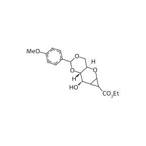 CCOC(=O)C1C2O[C@@H]3COC(c4ccc(OC)cc4)O[C@H]3[C@H](O)C21